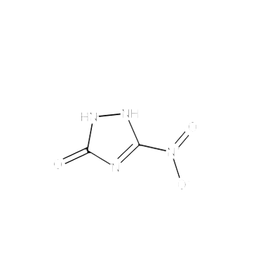 O=c1nc([N+](=O)[O-])[nH][nH]1